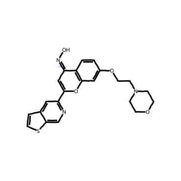 O/N=c1/cc(-c2cc3ccsc3cn2)oc2cc(OCCN3CCOCC3)ccc12